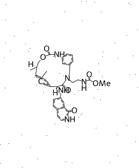 COC(=O)NCCN1Cc2cccc(c2)NC(=O)OC[C@H](C)c2ccc(cc2C)[C@@H](Nc2ccc3cc[nH]c(=O)c3c2)C1=O